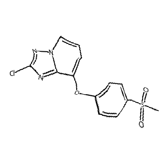 CS(=O)(=O)c1ccc(Oc2cccn3nc(Cl)nc23)cc1